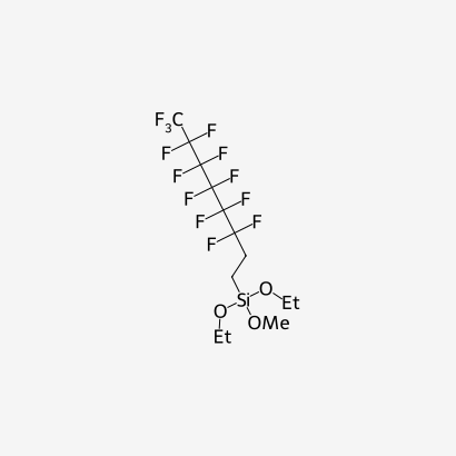 CCO[Si](CCC(F)(F)C(F)(F)C(F)(F)C(F)(F)C(F)(F)C(F)(F)F)(OC)OCC